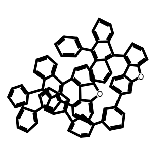 c1ccc(-c2cccc(-c3cccc4oc5cccc(-c6c7ccccc7c(-c7ccccc7)c7ccc(-c8cccc(-c9cccc(-c%10ccc%11c(c%10)oc%10cccc(-c%12c%13ccccc%13c(-c%13ccccc%13)c%13ccccc%12%13)c%10%11)c9)c8)cc67)c5c34)c2)cc1